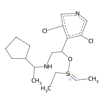 C/C=[Si](/CC)OC(CNC(C)C1CCCC1)c1c(Cl)cncc1Cl